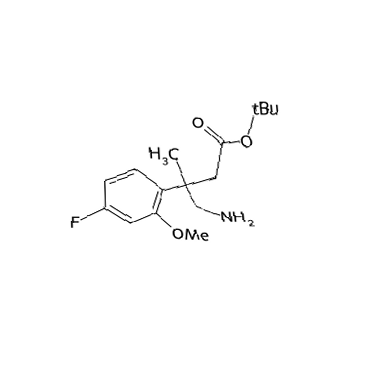 COc1cc(F)ccc1C(C)(CN)CC(=O)OC(C)(C)C